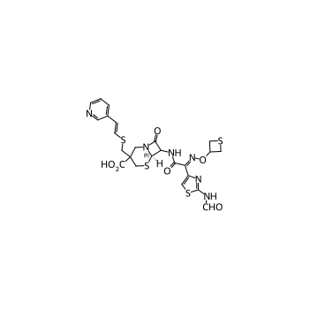 O=CNc1nc(C(=NOC2CSC2)C(=O)NC2C(=O)N3CC(CSC=Cc4cccnc4)(C(=O)O)CS[C@H]23)cs1